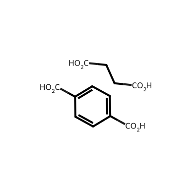 O=C(O)CCC(=O)O.O=C(O)c1ccc(C(=O)O)cc1